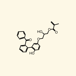 C=C(C)C(=O)OCC(O)COc1ccc(O)c(-c2ccccc2C(=O)c2ccccc2)c1